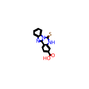 O=C(O)c1ccc2c(c1)[nH]c(=S)n1c3ccccc3nc21